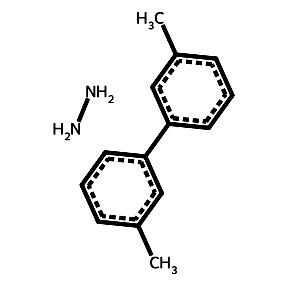 Cc1cccc(-c2cccc(C)c2)c1.NN